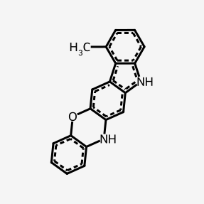 Cc1cccc2[nH]c3cc4c(cc3c12)Oc1ccccc1N4